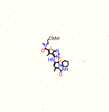 COCCN(C)C(=O)c1sc2ncnc(Nc3cc(C)c4n(c3=O)C3(CCCCC3)NC4=O)c2c1C